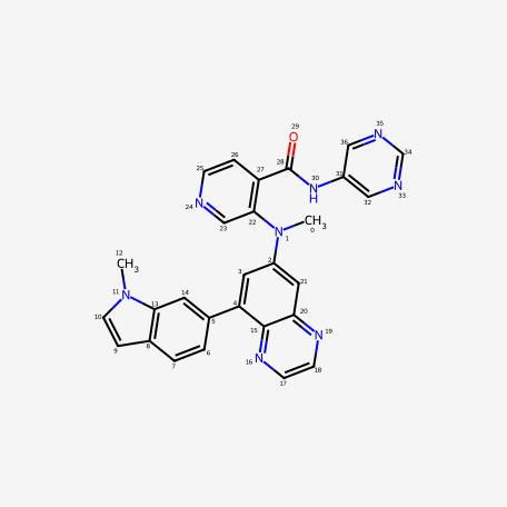 CN(c1cc(-c2ccc3ccn(C)c3c2)c2nccnc2c1)c1cnccc1C(=O)Nc1cncnc1